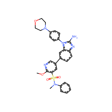 COc1ncc(-c2ccc3nc(N)n(-c4ccc(N5CCOCC5)cc4)c3c2)cc1S(=O)(=O)N(C)c1ccccc1